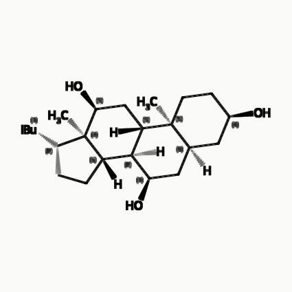 CC[C@@H](C)[C@H]1CC[C@H]2[C@@H]3[C@H](O)C[C@@H]4C[C@H](O)CC[C@]4(C)[C@H]3C[C@H](O)[C@]12C